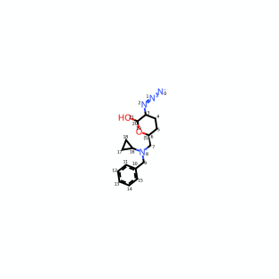 [N-]=[N+]=NC1CC[C@@H](CN(Cc2ccccc2)C2CC2)OC1O